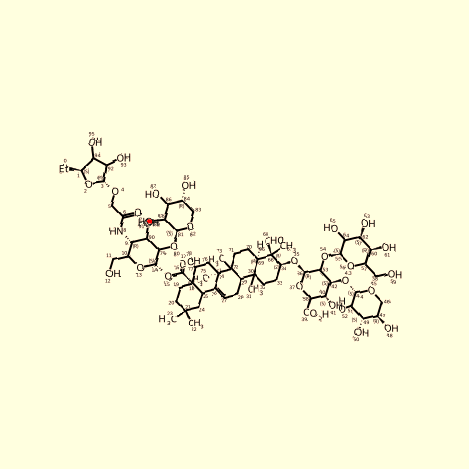 CC[C@@H]1O[C@@H](OCC(=O)N[C@H]2C(CO)O[C@@H](OC(=O)[C@]34CCC(C)(C)CC3C3=CCC5C6(C)CC[C@H](O[C@@H]7OC(C(=O)O)[C@@H](O)[C@H](O[C@@H]8OC[C@@H](O)[C@H](O)C8O)C7O[C@@H]7OC(CO)[C@H](O)[C@H](O)C7O)[C@](C)(C=O)[C@@H]6CCC5(C)[C@]3(C)CC4O)C(O[C@@H]3OC[C@@H](O)C(O)C3O)C2O)C(O)C1O